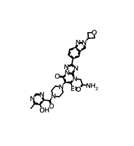 CCc1c(N2CCN(C(=O)c3ncnc(C)c3O)CC2)c(=O)n2nc(-c3ccc4nn(C5COC5)cc4c3)nc2n1CC(N)=O